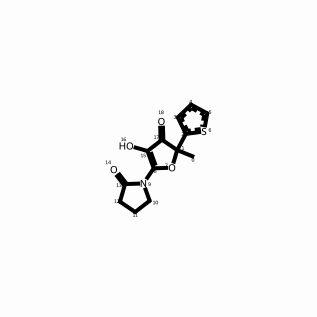 CC1(c2cccs2)OC(N2CCCC2=O)=C(O)C1=O